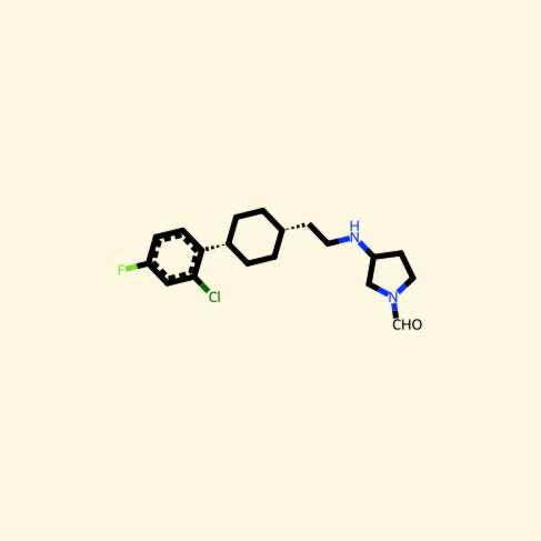 O=CN1CCC(NCC[C@H]2CC[C@@H](c3ccc(F)cc3Cl)CC2)C1